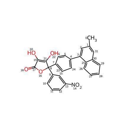 Cc1cc(-c2ccc(C3(c4cccc([N+](=O)[O-])c4)OC(=O)C(O)=C3O)cc2)c2ccccc2c1